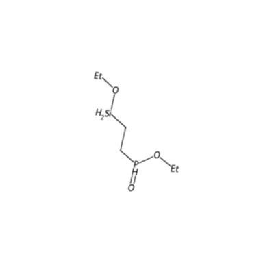 CCO[SiH2]CC[PH](=O)OCC